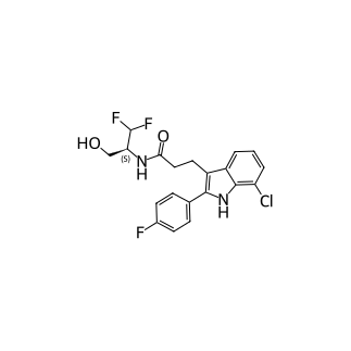 O=C(CCc1c(-c2ccc(F)cc2)[nH]c2c(Cl)cccc12)N[C@@H](CO)C(F)F